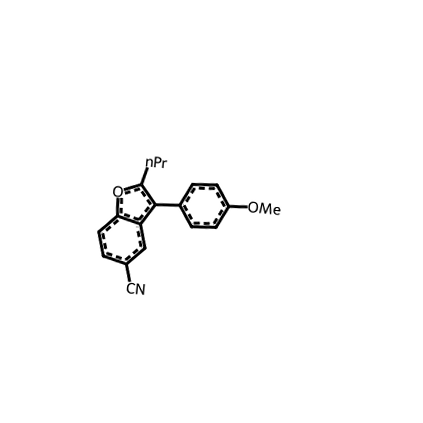 CCCc1oc2ccc(C#N)cc2c1-c1ccc(OC)cc1